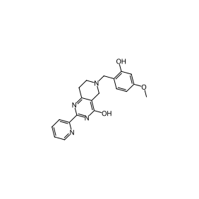 COc1ccc(CN2CCc3nc(-c4ccccn4)nc(O)c3C2)c(O)c1